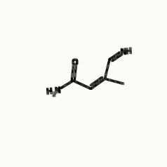 C/C(C=N)=C/C(N)=O